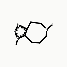 Cn1nnc2c1CCCN(I)CC2